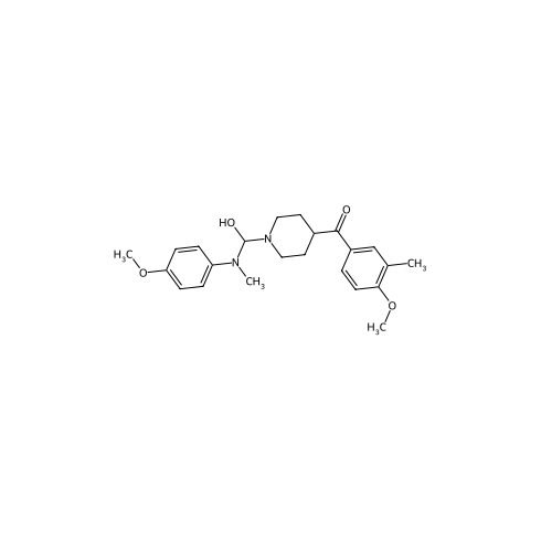 COc1ccc(N(C)C(O)N2CCC(C(=O)c3ccc(OC)c(C)c3)CC2)cc1